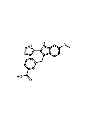 COc1ccc2c(Cc3cccc(C(=O)O)n3)c(-c3cnco3)[nH]c2c1